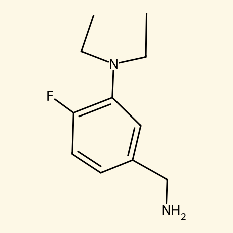 CCN(CC)c1cc(CN)ccc1F